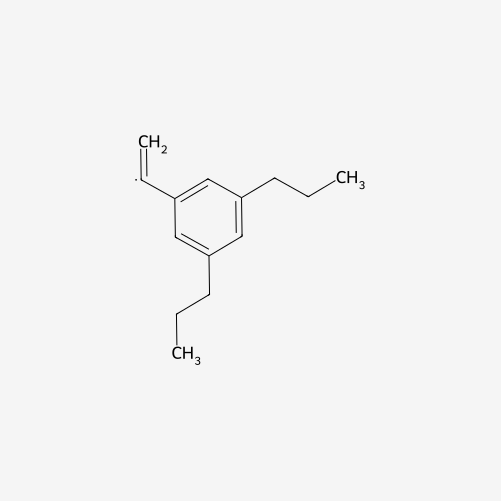 C=[C]c1cc(CCC)cc(CCC)c1